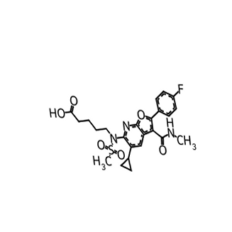 CNC(=O)c1c(-c2ccc(F)cc2)oc2nc(N(CCCCC(=O)O)S(C)(=O)=O)c(C3CC3)cc12